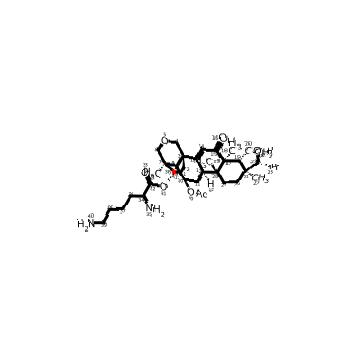 CC(=O)O[C@@H]1C[C@]23COC[C@@](C)([C@@H]2CC[C@H]2C3=CC(=O)[C@@]3(C)[C@H](C(=O)O)[C@@](C)([C@H](C)C(C)C)CC[C@]23C)[C@H]1OC(=O)C(N)CCCCN